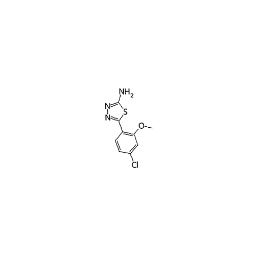 COc1cc(Cl)ccc1-c1nnc(N)s1